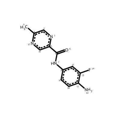 Cc1cnc(C(=O)Nc2ccc(N)c(F)c2)cn1